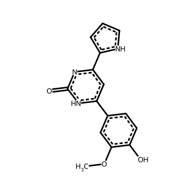 COc1cc(-c2cc(-c3ccc[nH]3)nc(=O)[nH]2)ccc1O